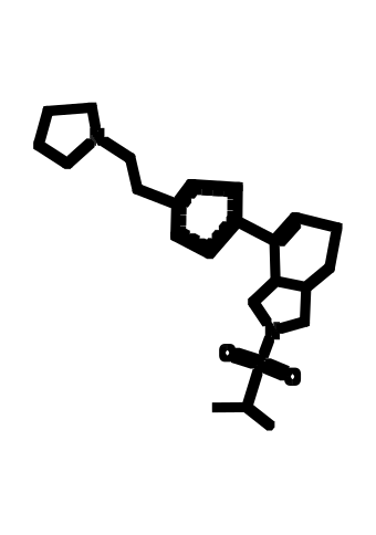 CC(C)S(=O)(=O)N1CC2CCC=C(c3ccc(CCN4CCCC4)cc3)C2C1